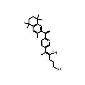 C=C(c1ccc(/C(C)=C(\O)CCCO)cn1)c1cc2c(cc1C)C(C)(C)CCC2(C)C